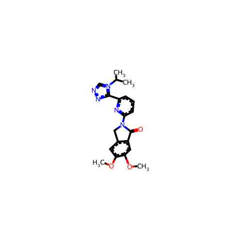 COc1cc2c(cc1OC)C(=O)N(c1cccc(-c3nncn3C(C)C)n1)C2